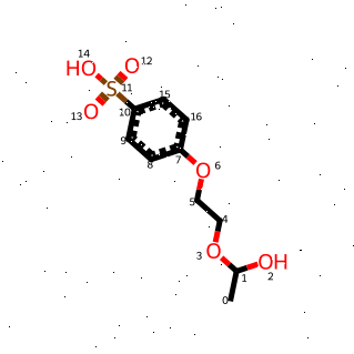 CC(O)OCCOc1ccc(S(=O)(=O)O)cc1